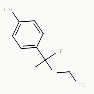 CCC(C)c1ccc(C(C)(OCOC)C(F)(F)F)cc1